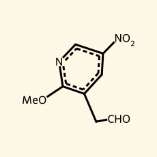 COc1ncc([N+](=O)[O-])cc1CC=O